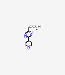 CN1CC=C(c2cnc(CC(=O)O)cn2)CC1